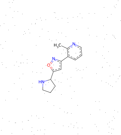 Cc1ncccc1-c1cc(C2CCCN2)on1